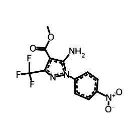 COC(=O)c1c(C(F)(F)F)nn(-c2ccc([N+](=O)[O-])cc2)c1N